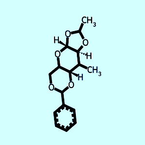 CC1O[C@H]2OC3COC(c4ccccc4)O[C@H]3C(C)[C@@H]2O1